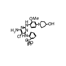 COc1cc(N2CCC(O)CC2)ccc1Nc1nc(N)c(Cl)c(Nc2ccccc2S(=O)(=O)C(C)C)n1